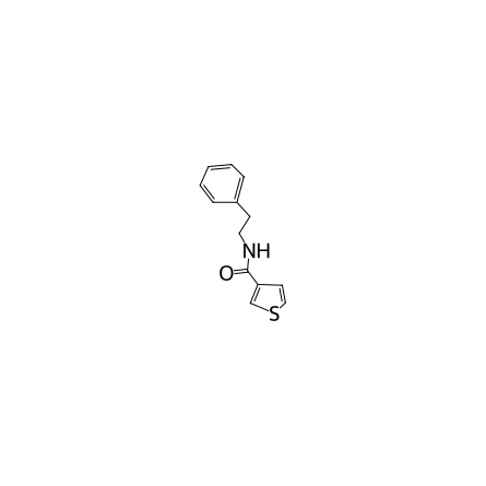 O=C(NCCc1ccccc1)c1ccsc1